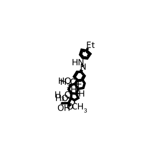 CCc1ccc(N/N=C2\C=C[C@@]3(C)C(=C2)CC[C@H]2[C@@H]4C[C@@H](C)[C@](O)(C(=O)CO)[C@@]4(C)C[C@H](O)[C@@]23F)cc1